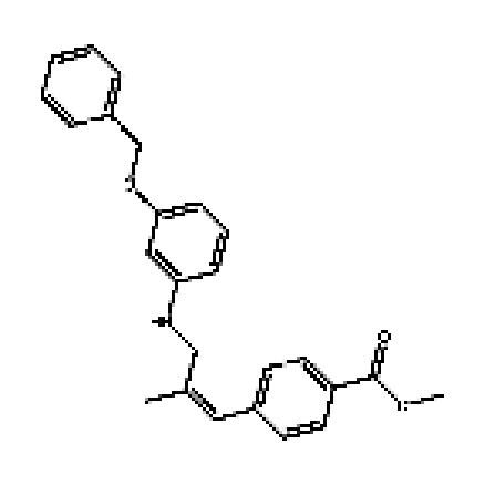 COC(=O)c1ccc(C=C(C)CNc2cccc(OCc3ccccc3)c2)cc1